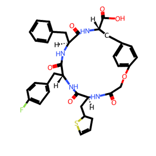 O=C1COc2ccc(cc2)C[C@@H](C(=O)O)NC(=O)[C@H](Cc2ccccc2)NC(=O)[C@@H](Cc2ccc(F)cc2)NC(=O)[C@H](CC2CC=CS2)N1